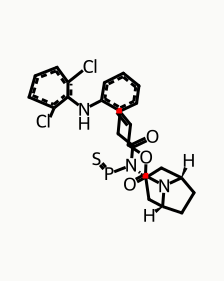 C=CCOC(=O)N1[C@@H]2CC[C@H]1C[C@@H](N(P=S)C(=O)Cc1ccccc1Nc1c(Cl)cccc1Cl)C2